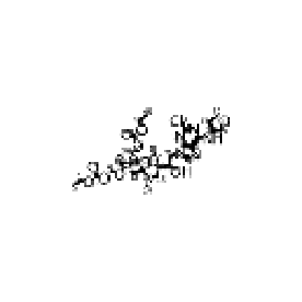 CCOC(=O)OCOP(=O)(CC(=O)N(C)C[C@@H](OC)[C@@H](O)Cn1cnc2c(N[C@H]3CCOC3)nc(Cl)nc21)OCOC(=O)OCC